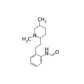 CC1CCC(CCc2ccccc2NC=O)N(C)C1